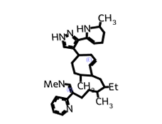 CCC(CC1/C=C/CC(c2c[nH]nc2C2=CCCC(C)N2)CCC1C)C(C)CC/C(=C/NC)c1ccccn1